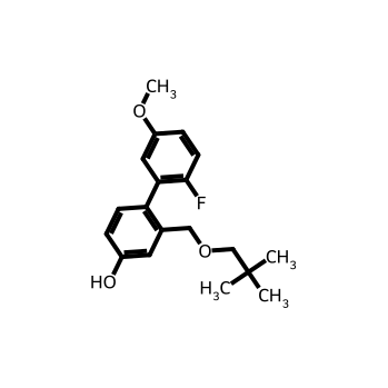 COc1ccc(F)c(-c2ccc(O)cc2COCC(C)(C)C)c1